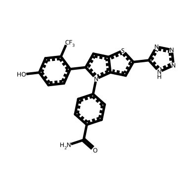 NC(=O)c1ccc(-n2c(-c3ccc(O)cc3C(F)(F)F)cc3sc(-c4nnn[nH]4)cc32)cc1